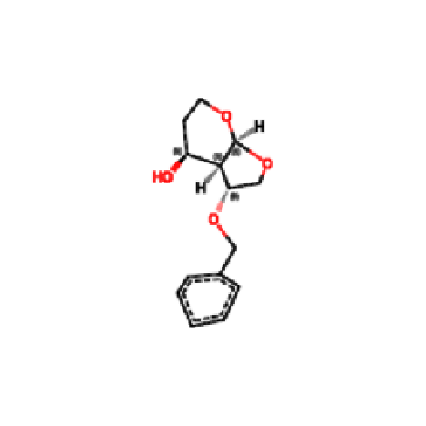 O[C@H]1CCO[C@H]2OC[C@H](OCc3ccccc3)[C@H]21